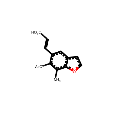 CC(=O)Oc1c(/C=C/C(=O)O)cc2ccoc2c1C